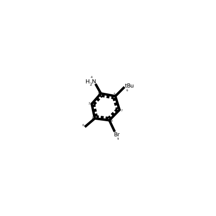 Cc1cc(N)c(C(C)(C)C)cc1Br